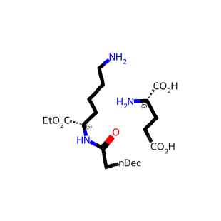 CCCCCCCCCCCC(=O)N[C@@H](CCCCN)C(=O)OCC.N[C@@H](CCC(=O)O)C(=O)O